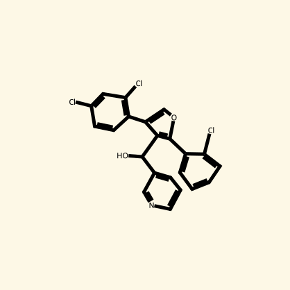 OC(c1cccnc1)c1c(-c2ccc(Cl)cc2Cl)coc1-c1ccccc1Cl